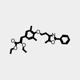 CCOC(=O)/C(=C/c1cc(C)c(OCCc2nc(-c3ccccc3)oc2C)c(C)c1)OCC